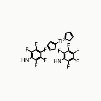 C1=CC[C]([Ti+2][C]2=CC=CC2)=C1.[NH-]c1c(F)c(F)c(F)c(F)c1F.[NH-]c1c(F)c(F)c(F)c(F)c1F